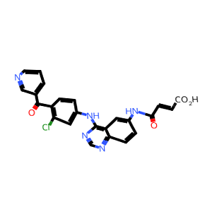 O=C(O)C=CC(=O)Nc1ccc2ncnc(Nc3ccc(C(=O)c4cccnc4)c(Cl)c3)c2c1